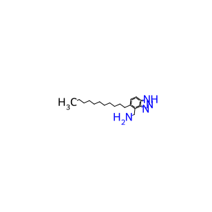 CCCCCCCCCCCc1ccc2[nH]nnc2c1CN